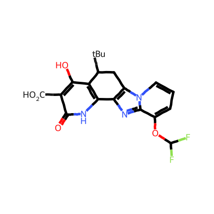 CC(C)(C)C1Cc2c(nc3c(OC(F)F)cccn23)-c2[nH]c(=O)c(C(=O)O)c(O)c21